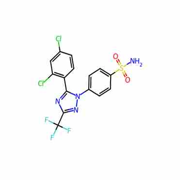 NS(=O)(=O)c1ccc(-n2nc(C(F)(F)F)nc2-c2ccc(Cl)cc2Cl)cc1